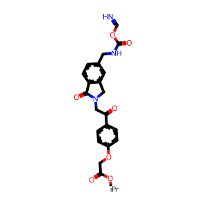 CC(C)OC(=O)COc1ccc(C(=O)CN2Cc3cc(CNC(=O)OC=N)ccc3C2=O)cc1